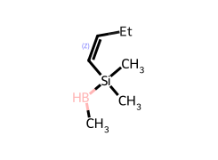 CB[Si](C)(C)/C=C\CC